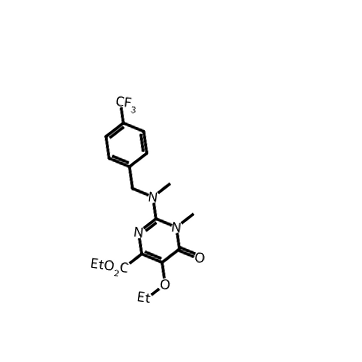 CCOC(=O)c1nc(N(C)Cc2ccc(C(F)(F)F)cc2)n(C)c(=O)c1OCC